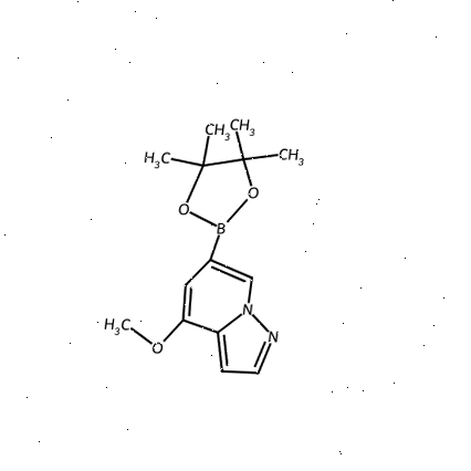 COc1cc(B2OC(C)(C)C(C)(C)O2)cn2nccc12